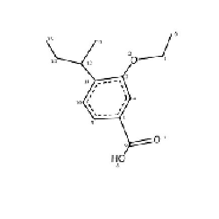 CCOc1cc(C(=O)O)ccc1C(C)CC